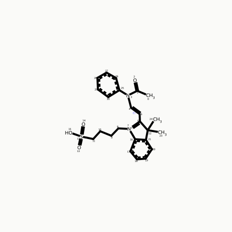 CC(=O)N(/C=C/C1=[N+](CCCCS(=O)(=O)O)c2ccccc2C1(C)C)c1ccccc1